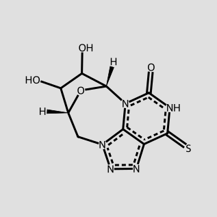 O=c1[nH]c(=S)c2nnn3c2n1[C@@H]1O[C@H](C3)C(O)C1O